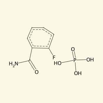 NC(=O)c1ccccc1F.O=P(O)(O)O